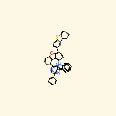 C1=Cc2oc3c(-c4ccc5sc6ccccc6c5c4)ccc(-n4c5ccccc5c5ccccc54)c3c2C(c2nc(-c3ccccc3)nc(-c3ccccc3)n2)C1